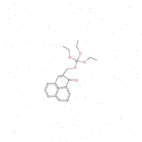 CCO[Si](OCC)(OCC)OCC1=Cc2cccc3cccc(c23)C1=O